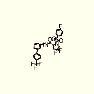 O=C(NCc1cccc(-c2ccc(C(F)(F)F)cc2)c1)[C@@H]1CC(F)(F)CN1S(=O)(=O)c1ccc(F)cc1